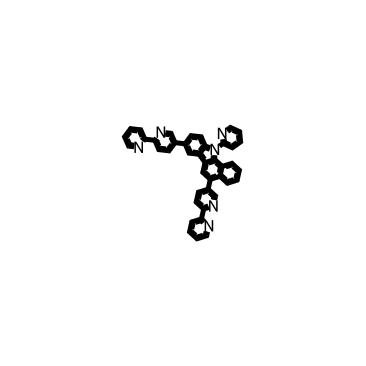 c1ccc(-c2ccc(-c3ccc4c(c3)c3cc(-c5ccc(-c6ccccn6)nc5)c5ccccc5c3n4-c3ccccn3)cn2)nc1